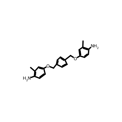 Cc1cc(OCc2ccc(COc3ccc(N)c(C)c3)cc2)ccc1N